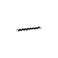 O=[C]CCCCCCCCCCCCCC[C]=O